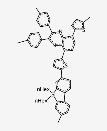 CCCCCC[Si]1(CCCCCC)c2cc(C)ccc2-c2ccc(-c3ccc(-c4ccc(-c5ccc(C)s5)c5nc(-c6ccc(C)cc6)c(-c6ccc(C)cc6)nc45)s3)cc21